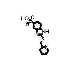 O=S(=O)(O)c1ccc2[nH]c(SCc3ccccn3)nc2c1